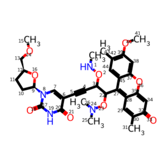 CNOC(C#Cc1cn([C@H]2CC[C@@H](COC)O2)c(=O)[nH]c1=O)C(ON(C)C)c1c2cc(C)c(=O)cc-2oc2cc(OC)c(C)cc12